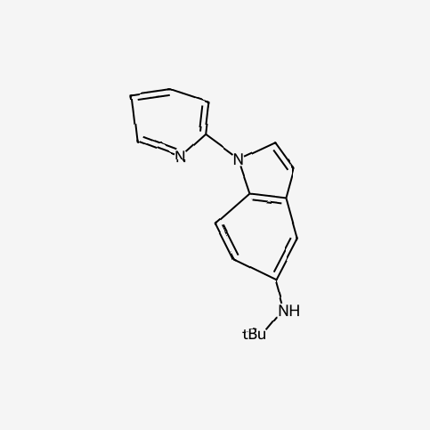 CC(C)(C)Nc1ccc2c(ccn2-c2ccccn2)c1